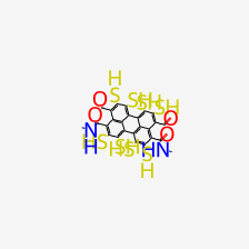 CNC(=O)c1c(S)c(S)c2c3c(S)c(S)c(C(=O)NC)c4c(C=O)c(S)c(S)c(c5c(S)c(S)c(C=O)c1c52)c43